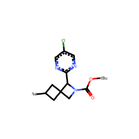 [2H]C1CC2(C1)CN(C(=O)OC(C)(C)C)C2c1ncc(Cl)cn1